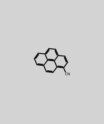 N#Cc1[c]cc2ccc3cccc4ccc1c2c34